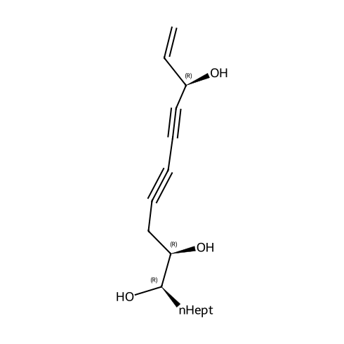 C=C[C@@H](O)C#CC#CC[C@@H](O)[C@H](O)CCCCCCC